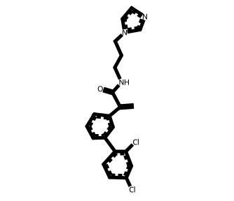 C=C(C(=O)NCCCn1ccnc1)c1[c]ccc(-c2ccc(Cl)cc2Cl)c1